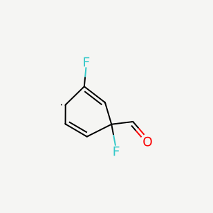 O=CC1(F)C=C[CH]C(F)=C1